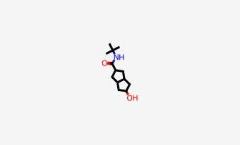 CC(C)(C)NC(=O)C1CC2CC(O)CC2C1